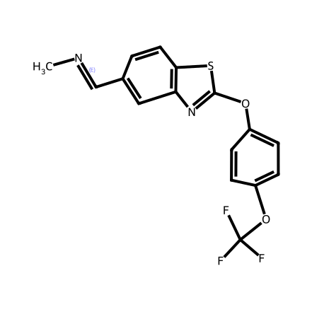 C/N=C/c1ccc2sc(Oc3ccc(OC(F)(F)F)cc3)nc2c1